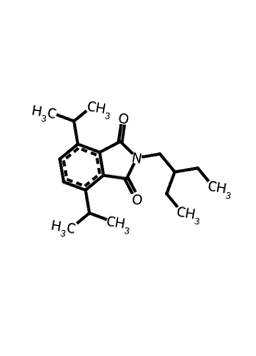 CCC(CC)CN1C(=O)c2c(C(C)C)ccc(C(C)C)c2C1=O